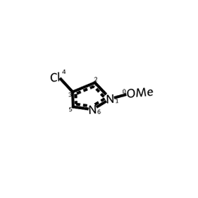 COn1cc(Cl)cn1